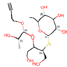 C#CCO[C@H](OC(CO)[C@H](CO)S[C@@H]1OC(C)[C@H](O)C(O)[C@@H]1O)[C@H](C)O